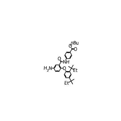 CCCCOC(=O)c1ccc(NC(=O)c2cc(N)ccc2Oc2ccc(C(C)(C)CC)cc2C(C)(C)CC)cc1